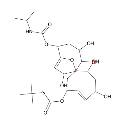 CC(C)NC(=O)OC1CC(O)C(O)CC(O)/C=C/1OC1CC(OC(=O)SC(C)(C)C)/C=C/C(O)CC1O